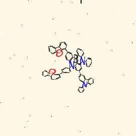 c1ccc(N2c3ccccc3B3c4cc(-c5cccc6c5oc5ccccc56)ccc4N(c4ccc(-c5cccc6c5oc5ccccc56)cc4)c4cc(-c5ccc6c(c5)c5ccccc5n6-c5ccccc5)cc2c43)cc1